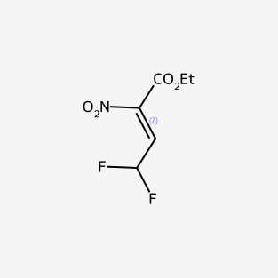 CCOC(=O)/C(=C/C(F)F)[N+](=O)[O-]